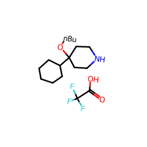 CCCCOC1(C2CCCCC2)CCNCC1.O=C(O)C(F)(F)F